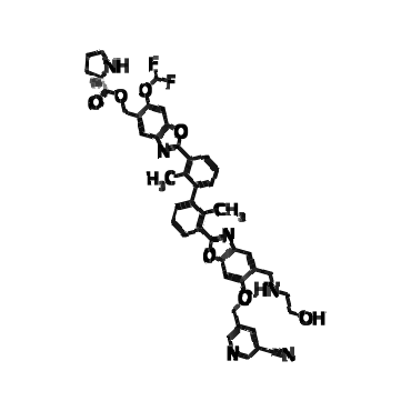 Cc1c(-c2nc3cc(CNCCO)c(OCc4cncc(C#N)c4)cc3o2)cccc1-c1cccc(-c2nc3cc(COC(=O)[C@@H]4CCCN4)c(OC(F)F)cc3o2)c1C